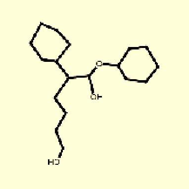 OCCCCC(C1CCCCC1)C(O)OC1CCCCC1